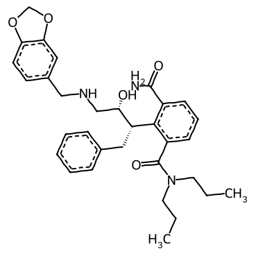 CCCN(CCC)C(=O)c1cccc(C(N)=O)c1[C@H](Cc1ccccc1)[C@@H](O)CNCc1ccc2c(c1)OCO2